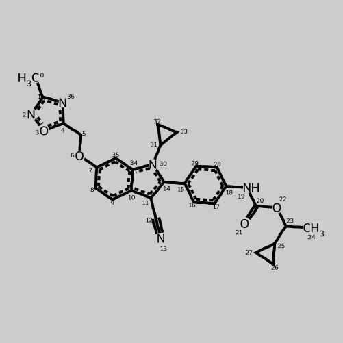 Cc1noc(COc2ccc3c(C#N)c(-c4ccc(NC(=O)OC(C)C5CC5)cc4)n(C4CC4)c3c2)n1